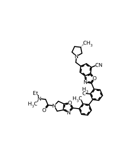 CCN(C)CC(=O)N1Cc2nc(-c3cccc(-c4cccc(-c5nc6cc(CN7CC[C@H](C)C7)cc(C#N)c6o5)c4C)c3C)oc2C1